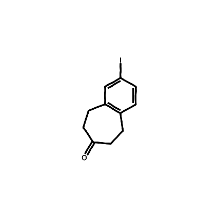 O=C1CCc2ccc(I)cc2CC1